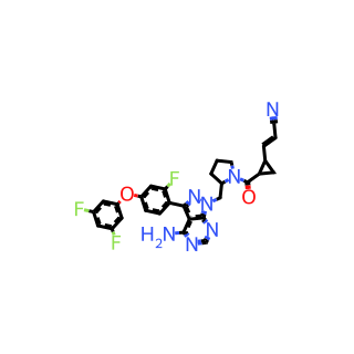 N#CC=CC1CC1C(=O)N1CCCC1Cn1nc(-c2ccc(Oc3cc(F)cc(F)c3)cc2F)c2c(N)ncnc21